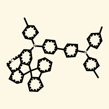 Cc1ccc(N(c2ccc(C)cc2)c2ccc(-c3ccc(N(c4ccc(C)cc4)c4cc5c6c(ccc7cccc(c76)C56c5ccccc5-c5ccccc56)c4)cc3)cc2)cc1